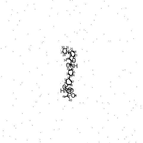 COC(=O)C(NS(=O)(=O)c1ccc(-c2ccc(NC(=O)c3oc4cccc(N5CCCC5)c4c3C)cc2)cc1)C(C)C